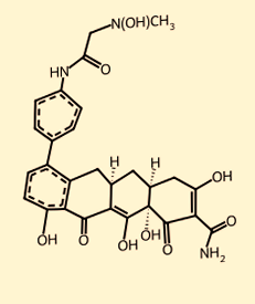 CN(O)CC(=O)Nc1ccc(-c2ccc(O)c3c2C[C@H]2C[C@H]4CC(O)=C(C(N)=O)C(=O)[C@@]4(O)C(O)=C2C3=O)cc1